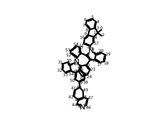 CC1(C)c2ccccc2-c2ccc(-n3c4c(c5ccccc53)-c3ccccc3N(c3ccccc3-c3cccc(C5C=Cc6cnccc6C5)c3)c3ccccc3-4)cc21